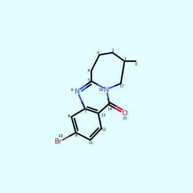 CC1CCCc2nc3cc(Br)ccc3c(=O)n2C1